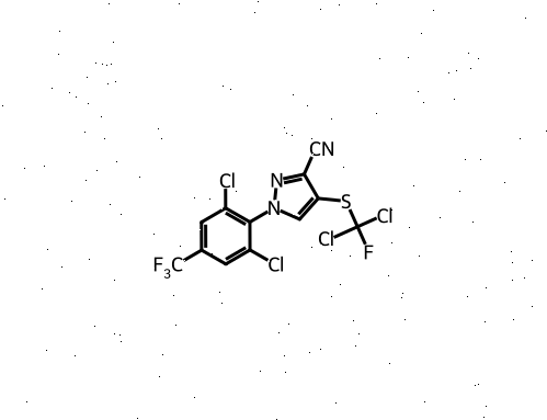 N#Cc1nn(-c2c(Cl)cc(C(F)(F)F)cc2Cl)cc1SC(F)(Cl)Cl